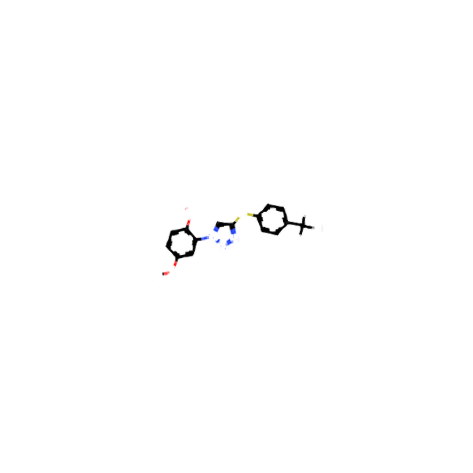 COc1ccc(OC)c(-n2cc(Sc3ccc(C(C)(C)C)cc3)nn2)c1